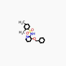 Cc1ccc(S(=O)(=O)Nc2ncccc2OCc2ccccc2)c(C)c1